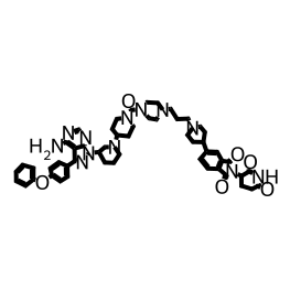 Nc1ncnc2c1c(-c1ccc(Oc3ccccc3)cc1)nn2C1CCCN(C2CCN(C(=O)N3CCN(CCCN4CCC(c5ccc6c(c5)C(=O)N(C5CCC(=O)NC5=O)C6=O)CC4)CC3)CC2)C1